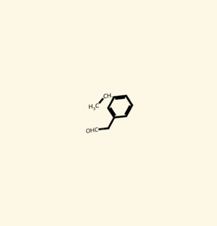 CC.O=CCc1ccccc1